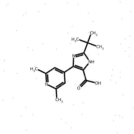 Cc1cc(-c2nc(C(C)(C)C)[nH]c2C(=O)O)cc(C)n1